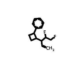 C=CC(C(F)CF)C1CCC1c1ccccc1